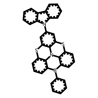 c1ccc(B2c3cccc4c3N3c5c(cc(-n6c7ccccc7c7ccccc76)cc5Sc5cccc2c53)S4)cc1